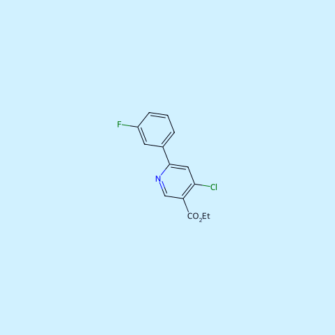 CCOC(=O)c1cnc(-c2cccc(F)c2)cc1Cl